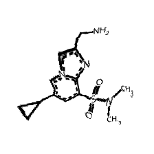 CN(C)S(=O)(=O)c1cc(C2CC2)cn2cc(CN)nc12